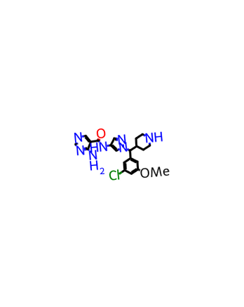 COc1cc(Cl)cc(C(C2CCNCC2)n2cc(NC(=O)c3cncnc3N)cn2)c1